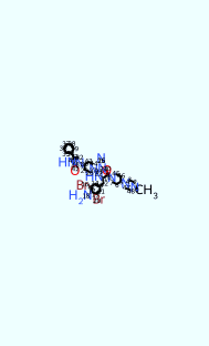 CN1CCN(C2CCN(C(=O)[C@@H](Cc3cc(Br)c(N)c(Br)c3)NC(=NC#N)N3CCC(n4cc(-c5ccccc5)[nH]c4=O)CC3)CC2)CC1